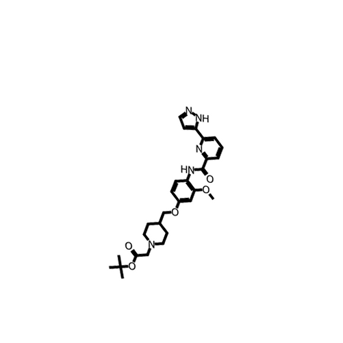 COc1cc(OCC2CCN(CC(=O)OC(C)(C)C)CC2)ccc1NC(=O)c1cccc(-c2ccn[nH]2)n1